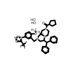 COc1ccc(-n2nnnc2C(F)(F)F)cc1CN1CC(C(c2ccccc2)c2ccccc2)N2CCN(C(=O)C3CCCC3)C[C@H]2C1.Cl.Cl